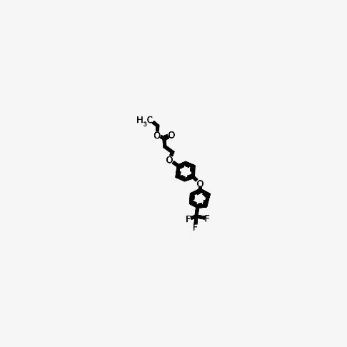 CCOC(=O)CCOc1ccc(Oc2ccc(C(F)(F)F)cc2)cc1